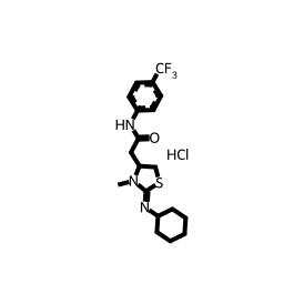 CN1C(=NC2CCCCC2)SCC1CC(=O)Nc1ccc(C(F)(F)F)cc1.Cl